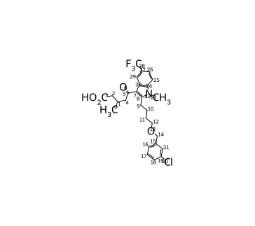 CC(CC(=O)O)CC(=O)c1c(CCCCOCc2cccc(Cl)c2)n(C)c2ccc(C(F)(F)F)cc12